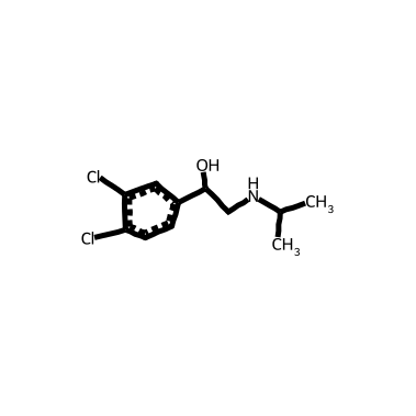 CC(C)NCC(O)c1ccc(Cl)c(Cl)c1